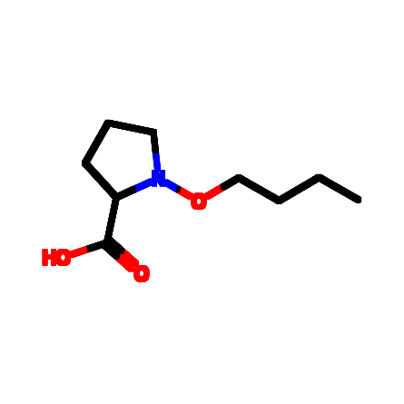 CCCCON1CCCC1C(=O)O